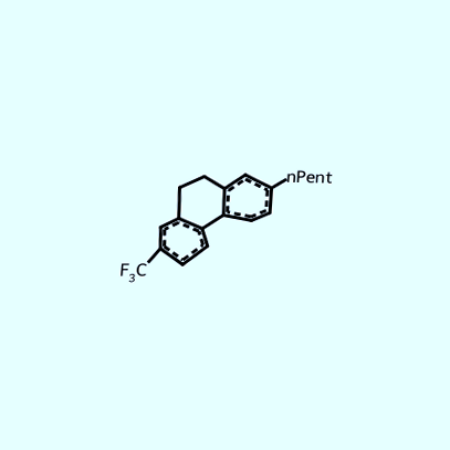 CCCCCc1ccc2c(c1)CCc1cc(C(F)(F)F)ccc1-2